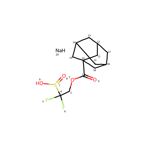 O=C(OCC(F)(F)S(=O)O)C12CC3CC(CC(C3)C1)C2.[NaH]